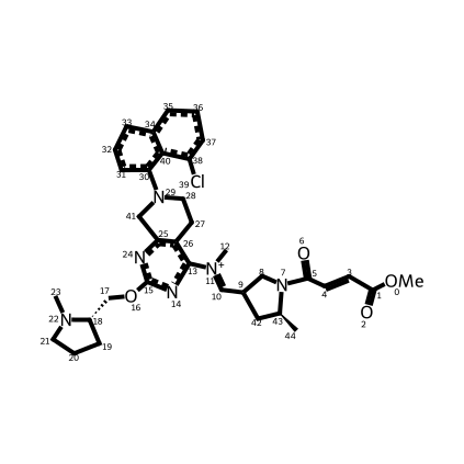 COC(=O)/C=C/C(=O)N1CC(/C=[N+](\C)c2nc(OC[C@@H]3CCCN3C)nc3c2CCN(c2cccc4cccc(Cl)c24)C3)C[C@@H]1C